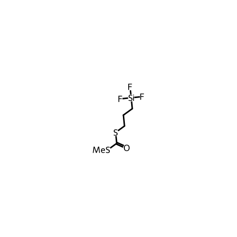 CSC(=O)SCCC[Si](F)(F)F